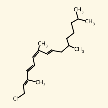 CC(C=CCC(C)CCCC(C)C)=CC=C/C(C)=C/CCl